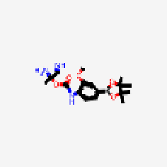 COc1cc(B2OC(C)(C)C(C)(C)O2)ccc1NC(=O)OC(C)(N)C=N